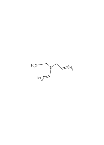 C=CC[Si](C=C)CC